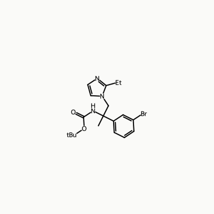 CCc1nccn1CC(C)(NC(=O)OC(C)(C)C)c1cccc(Br)c1